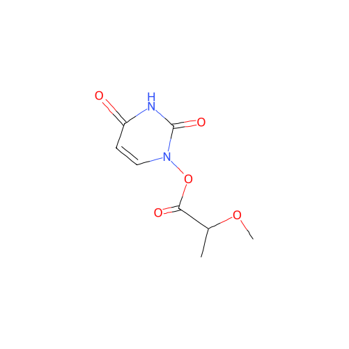 COC(C)C(=O)On1ccc(=O)[nH]c1=O